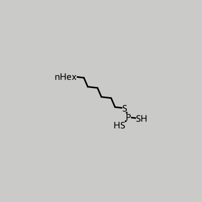 CCCCCCCCCCCCSP(S)S